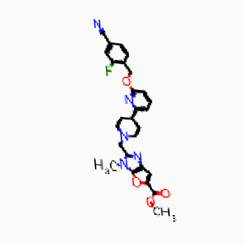 COC(=O)c1cc2nc(CN3CCC(c4cccc(OCc5ccc(C#N)cc5F)n4)CC3)n(C)c2o1